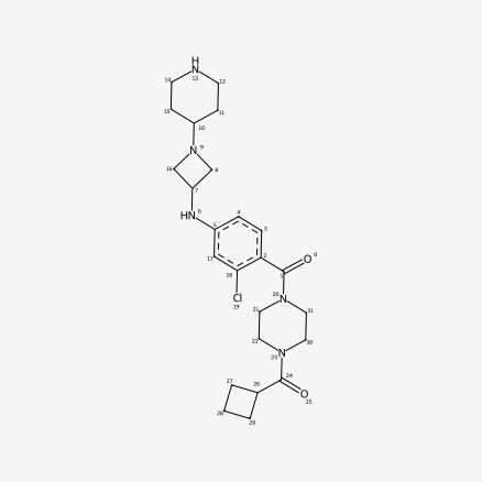 O=C(c1ccc(NC2CN(C3CCNCC3)C2)cc1Cl)N1CCN(C(=O)C2CCC2)CC1